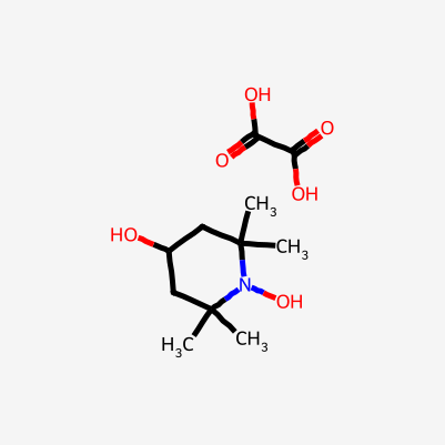 CC1(C)CC(O)CC(C)(C)N1O.O=C(O)C(=O)O